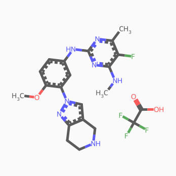 CNc1nc(Nc2ccc(OC)c(-n3cc4c(n3)CCNC4)c2)nc(C)c1F.O=C(O)C(F)(F)F